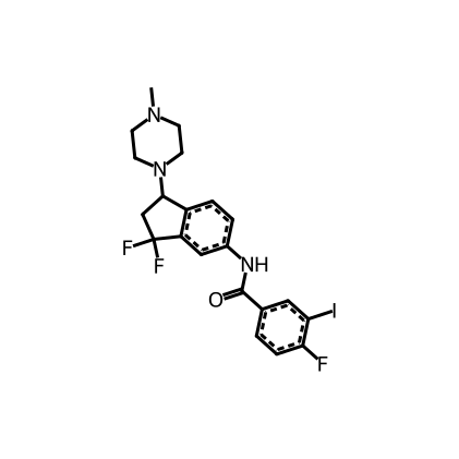 CN1CCN(C2CC(F)(F)c3cc(NC(=O)c4ccc(F)c(I)c4)ccc32)CC1